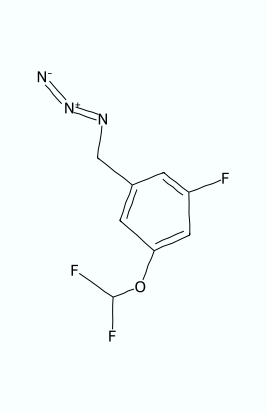 [N-]=[N+]=NCc1cc(F)cc(OC(F)F)c1